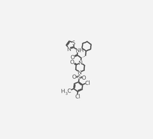 Cc1cc(S(=O)(=O)N2CCN([C@@H](CC3CCCCC3)C(=O)Nc3nccs3)C(=O)C2)c(Cl)cc1Cl